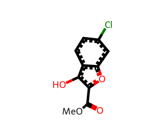 COC(=O)c1oc2cc(Cl)ccc2c1O